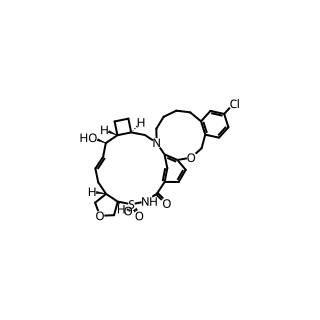 O=C1NS(=O)(=O)[C@H]2COC[C@@H]2C/C=C/[C@@H](O)[C@@H]2CC[C@H]2CN2CCCCc3cc(Cl)ccc3COc3ccc1cc32